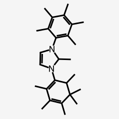 CC1=C(N2C=CN(c3c(C)c(C)c(C)c(C)c3C)C2C)C(C)C(C)(C)C(C)=C1C